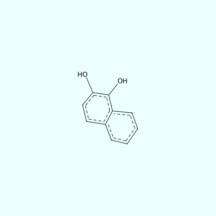 Oc1ccc2ccc[c]c2c1O